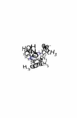 COc1ccc(/C=C/C(=O)Nc2c(O)cccc2/C=C/c2cc(OC)c(OC)c(OC)c2)cc1[N+](=O)[O-]